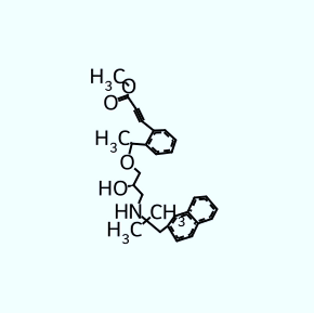 COC(=O)C#Cc1ccccc1C(C)OC[C@H](O)CNC(C)(C)Cc1ccc2ccccc2c1